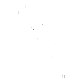 C=C(CCC#N)NC(=O)C(=O)c1c(C)c(C(=O)Nc2ccc(F)c(F)c2)n2c1CCC2